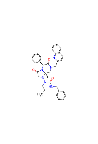 CCCN(C(=O)NCc1ccccc1)N1CC(=O)N2[C@@H](c3ccccc3)C(=O)N(Cc3ccc4ccccc4n3)C[C@@H]21